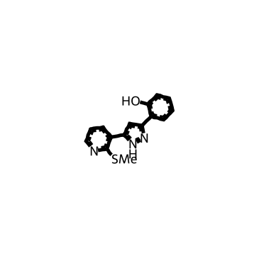 CSc1ncccc1-c1cc(-c2ccccc2O)n[nH]1